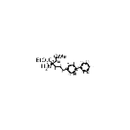 CCOC(=O)[C@](N)(CCCc1ccc(-c2ccccc2)cc1)COC